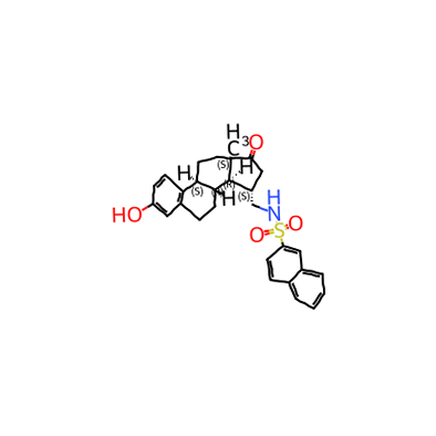 C[C@]12CC[C@@H]3c4ccc(O)cc4CC[C@H]3[C@@H]1[C@@H](CNS(=O)(=O)c1ccc3ccccc3c1)CC2=O